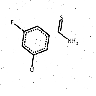 Fc1cccc(Cl)c1.NC=S